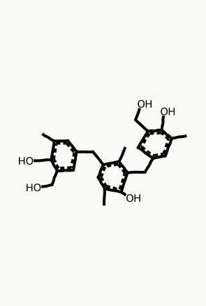 Cc1cc(Cc2cc(C)c(O)c(Cc3cc(C)c(O)c(CO)c3)c2C)cc(CO)c1O